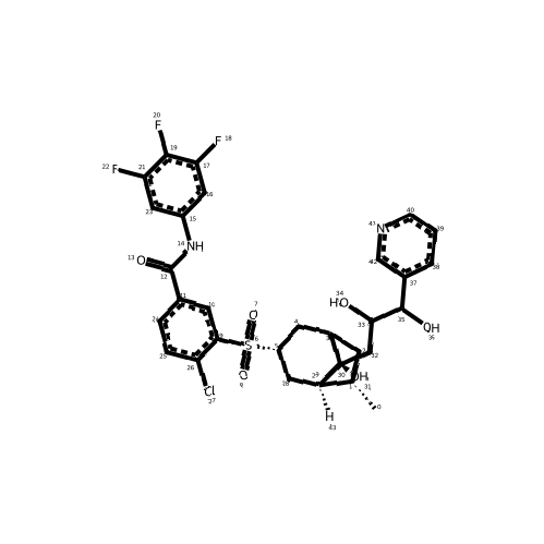 C[C@H]1CC2C[C@@H](S(=O)(=O)c3cc(C(=O)Nc4cc(F)c(F)c(F)c4)ccc3Cl)C[C@H]1[C@@]2(O)CC(O)C(O)c1cccnc1